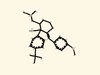 COc1ccc(/C=C2\CCCC(CN(C)C)C2(O)c2ccc(C(C)(C)C)cc2)cc1